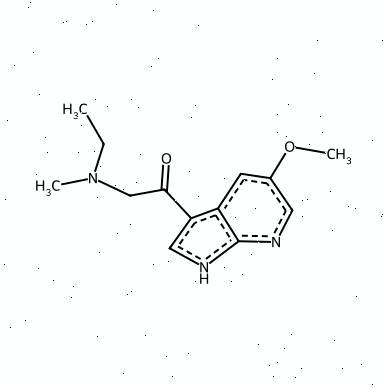 CCN(C)CC(=O)c1c[nH]c2ncc(OC)cc12